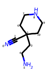 N#CC1(CCN)CCNCC1